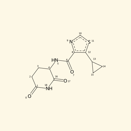 O=C1CCC(NC(=O)c2ncsc2C2CC2)C(=O)N1